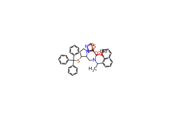 CC(c1cccc2ccccc12)N(CC1C(SC(c2ccccc2)(c2ccccc2)c2ccccc2)CCN1C(=O)OC(C)(C)C)C(=O)c1cncs1